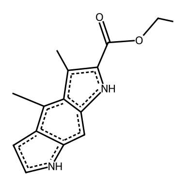 CCOC(=O)c1[nH]c2cc3[nH]ccc3c(C)c2c1C